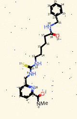 CNC(=O)c1cccc(CNC(=S)NCCCCCC(=O)NCc2ccccc2)n1